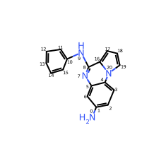 Nc1ccc2c(c1)nc(Nc1ccccc1)c1cccn12